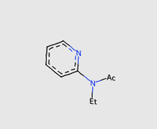 CCN(C(C)=O)c1ccccn1